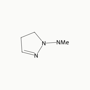 CNN1CCC=N1